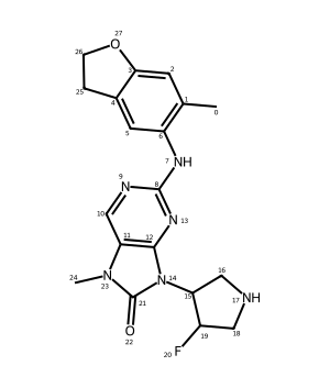 Cc1cc2c(cc1Nc1ncc3c(n1)n(C1CNCC1F)c(=O)n3C)CCO2